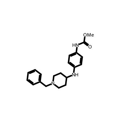 COC(=O)Nc1ccc(NC2CCN(Cc3ccccc3)CC2)cc1